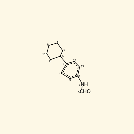 O=[C]Nc1ccc(C2CCCCC2)cc1